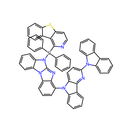 c1ccc([Si](c2ccccc2)(c2nccc3sc4ccccc4c23)n2c3ccccc3n3c4cccc(-n5c6ccccc6c6nc(-n7c8ccccc8c8ccccc87)ccc65)c4nc23)cc1